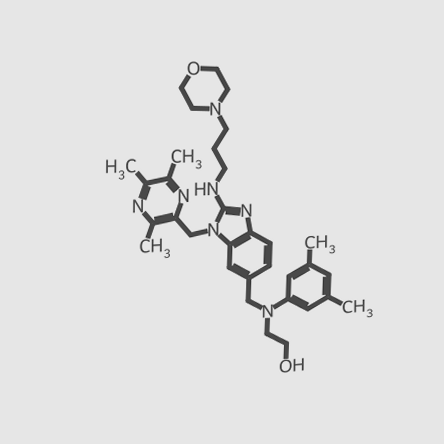 Cc1cc(C)cc(N(CCO)Cc2ccc3nc(NCCCN4CCOCC4)n(Cc4nc(C)c(C)nc4C)c3c2)c1